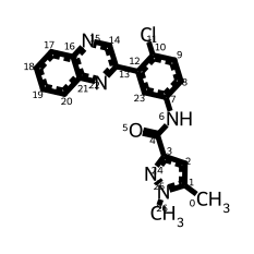 Cc1cc(C(=O)Nc2ccc(Cl)c(-c3cnc4ccccc4n3)c2)nn1C